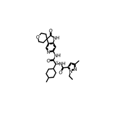 CCn1nc(C)cc1C(=O)N[C@H](C(=O)Nc1cc2c(cn1)C1(CCOCC1)C(=O)N2)C1CCC(C)CC1